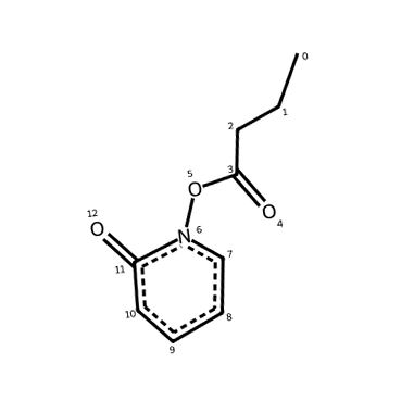 CCCC(=O)On1ccccc1=O